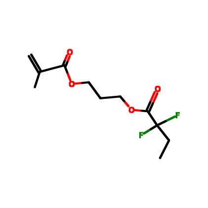 C=C(C)C(=O)OCCCOC(=O)C(F)(F)CC